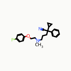 CN(CCCC(C#N)(c1ccccc1)C1CC1)CCOc1ccc(F)cc1